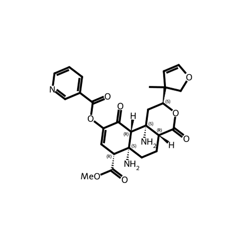 COC(=O)[C@@H]1C=C(OC(=O)c2cccnc2)C(=O)[C@H]2[C@@]1(N)CC[C@H]1C(=O)O[C@H](C3(C)C=COC3)C[C@]21N